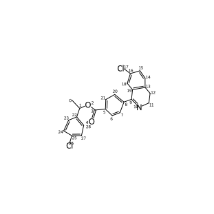 CC(OC(=O)c1ccc(C2=NCCc3ccc(Cl)cc32)cc1)c1ccc(Cl)cc1